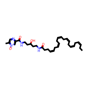 CC/C=C\C/C=C\C/C=C\C/C=C\C/C=C\C/C=C\CCC(=O)NCCC(O)CCNC(=O)c1c[n+]([O-])c(C)cn1